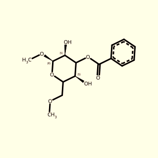 COCC1O[C@@H](OC)[C@@H](O)C(OC(=O)c2ccccc2)[C@H]1O